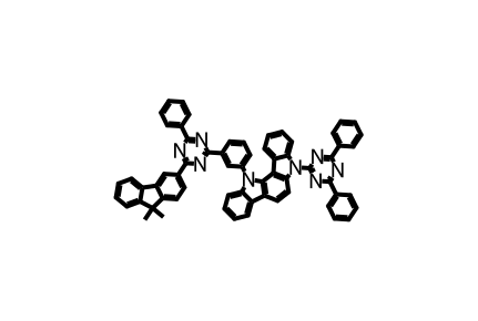 CC1(C)c2ccccc2-c2cc(-c3nc(-c4ccccc4)nc(-c4cccc(-n5c6ccccc6c6ccc7c(c8ccccc8n7-c7nc(-c8ccccc8)nc(-c8ccccc8)n7)c65)c4)n3)ccc21